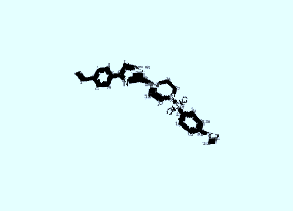 CCc1ccc(-c2csc(N3CCN(S(=O)(=O)c4ccc(OC)cc4)CC3)n2)cc1